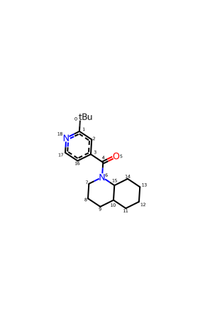 CC(C)(C)c1cc(C(=O)N2CCCC3CCCCC32)ccn1